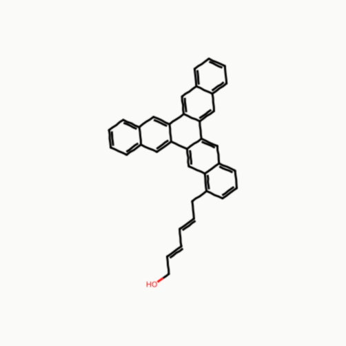 OC/C=C/C=C/Cc1cccc2cc3c4cc5ccccc5cc4c4cc5ccccc5cc4c3cc12